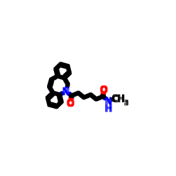 CNC(=O)CCCCC(=O)N1Cc2ccccc2/C=C\c2ccccc21